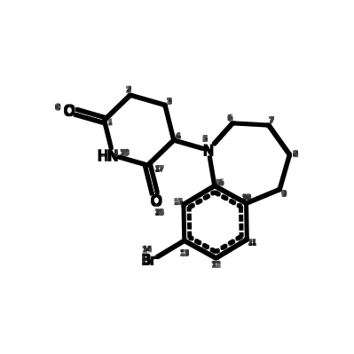 O=C1CCC(N2CCCCc3ccc(Br)cc32)C(=O)N1